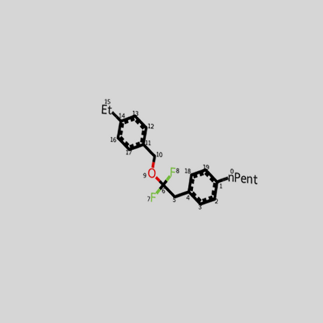 CCCCCc1ccc(CC(F)(F)OCc2ccc(CC)cc2)cc1